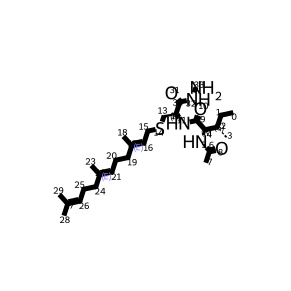 CC[C@H](C)[C@@H](NC(C)=O)C(=O)N[C@@H](CSC/C=C(\C)CC/C=C(\C)CCC=C(C)C)C(=O)NN